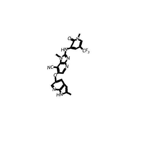 Cc1cc2cc(Oc3cnc4nc(Nc5cc(C(F)(F)F)cn(C)c5=O)n(C)c4c3C#N)cnc2[nH]1